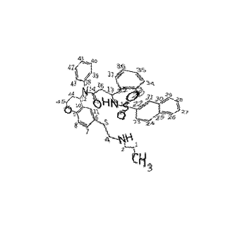 CCCNCCc1ccc2c(c1)C(N(C(=O)CC(NS(=O)(=O)c1ccc3ccccc3c1)c1ccccc1)c1ccccc1)CCO2